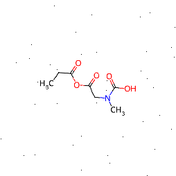 CCC(=O)OC(=O)CN(C)C(=O)O